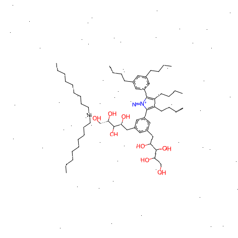 CCCCC1=C(c2cc(CCCC)cc(CCCC)c2)[N+](=[N-])C(c2cc(CC(O)C(O)C(O)CO)cc(CC(O)C(O)C(O)CO)c2)=C1CCCC.CCCCCCCC[CH2][Ni][CH2]CCCCCCCC